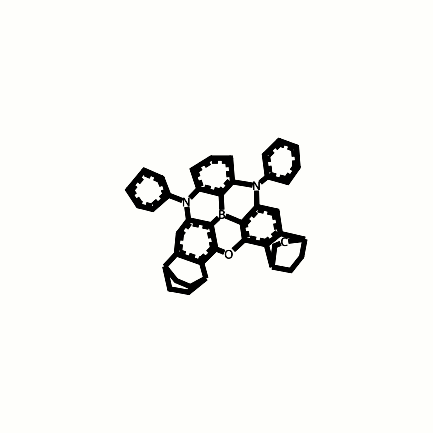 c1ccc(N2c3cccc4c3B3c5c2cc2c(c5Oc5c3c(cc3c5C5CCC3CC5)N4c3ccccc3)C3CCC2CC3)cc1